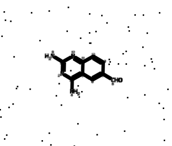 Nc1nc(N)c2cc(C=O)ccc2n1